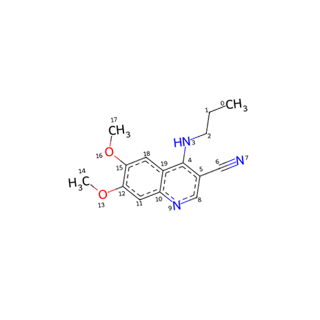 CCCNc1c(C#N)cnc2cc(OC)c(OC)cc12